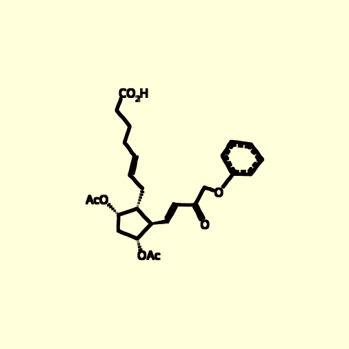 CC(=O)O[C@H]1C[C@@H](OC(C)=O)[C@H](C=CC(=O)COc2ccccc2)[C@H]1CC=CCCCC(=O)O